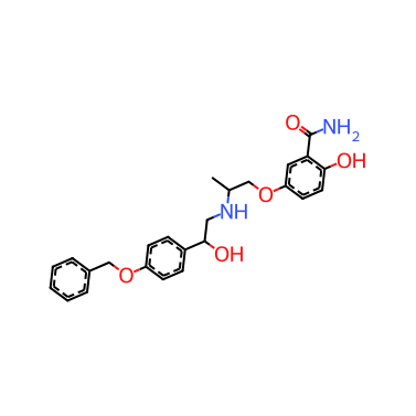 CC(COc1ccc(O)c(C(N)=O)c1)NCC(O)c1ccc(OCc2ccccc2)cc1